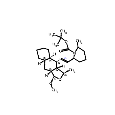 CO[C@@H]1O[C@H](C)[C@H]2[C@@H](/C=C/C3CCCC(C)N3C(=O)OC(C)(C)C)[C@@H]3CCCC[C@H]3C[C@@H]12